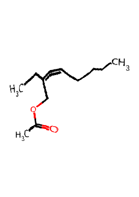 CCCCC=C(CC)COC(C)=O